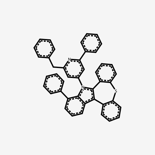 c1ccc(Cc2cc(-n3c4c(c5cccc(-c6ccccc6)c53)-c3ccccc3Sc3ccccc3-4)cc(-c3ccccc3)n2)cc1